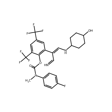 CN(C(=O)Oc1c(/C(C=N)=C/NC2CCC(O)CC2)cc(C(F)(F)F)cc1C(F)(F)F)c1ccc(F)cc1